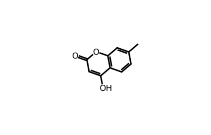 Cc1ccc2c(O)cc(=O)oc2c1